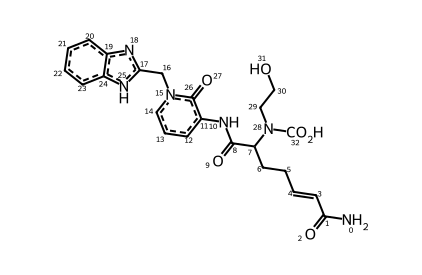 NC(=O)C=CCCC(C(=O)Nc1cccn(Cc2nc3ccccc3[nH]2)c1=O)N(CCO)C(=O)O